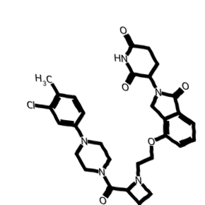 Cc1ccc(N2CCN(C(=O)C3CCN3CCOc3cccc4c3CN(C3CCC(=O)NC3=O)C4=O)CC2)cc1Cl